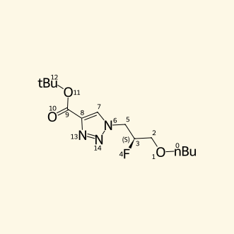 CCCCOC[C@@H](F)Cn1cc(C(=O)OC(C)(C)C)nn1